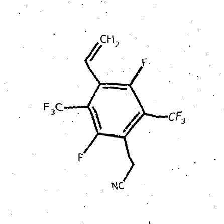 C=Cc1c(F)c(C(F)(F)F)c(CC#N)c(F)c1C(F)(F)F